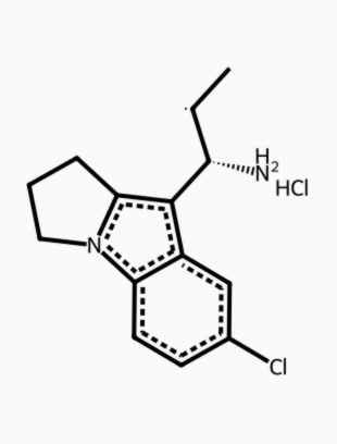 C[CH][C@H](N)c1c2n(c3ccc(Cl)cc13)CCC2.Cl